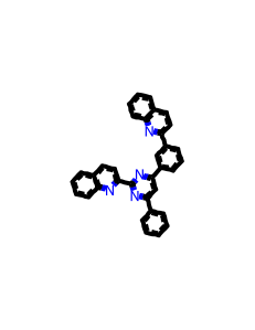 c1ccc(-c2cc(-c3cccc(-c4ccc5ccccc5n4)c3)nc(-c3ccc4ccccc4n3)n2)cc1